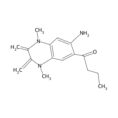 C=C1C(=C)N(C)c2cc(C(=O)CCC)c(N)cc2N1C